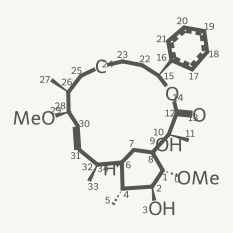 CO[C@@H]1[C@@H](O)[C@H](C)[C@H]2C[C@]1(O)[C@H](C)C(=O)O[C@H](c1ccccc1)CCCC[C@H](C)[C@H](OC)/C=C/[C@@H]2C